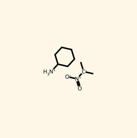 C[C-](C)[N+](=O)[O-].[NH3+]C1CCCCC1